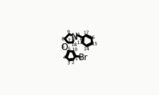 Brc1cccc(OC2CCN(Cc3ccccc3)C2)c1